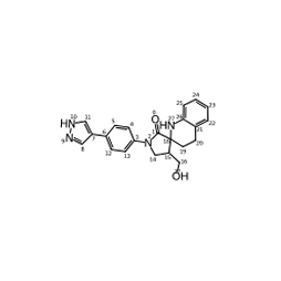 O=C1N(c2ccc(-c3cn[nH]c3)cc2)CC(CO)C12CCc1ccccc1N2